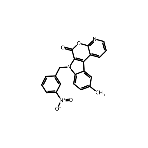 Cc1ccc2c(c1)c1c3cccnc3oc(=O)c1n2Cc1cccc([N+](=O)[O-])c1